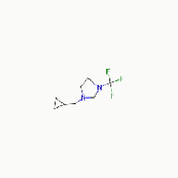 FC(F)(F)N1CCN(CC2CC2)C1